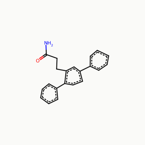 NC(=O)CCc1cc(-c2ccccc2)ccc1-c1ccccc1